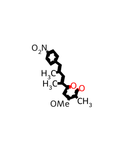 COc1cc(/C(C)=C/C(C)=C/c2ccc([N+](=O)[O-])cc2)oc(=O)c1C